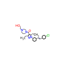 CCc1nn(-c2cccc(/C=C/c3ccc(Cl)cc3)c2)c(CC)c1C(=O)N1CCCN(CCO)CC1